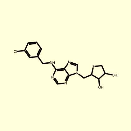 OC1CSC(Cn2cnc3c(NCc4cccc(Cl)c4)ncnc32)C1O